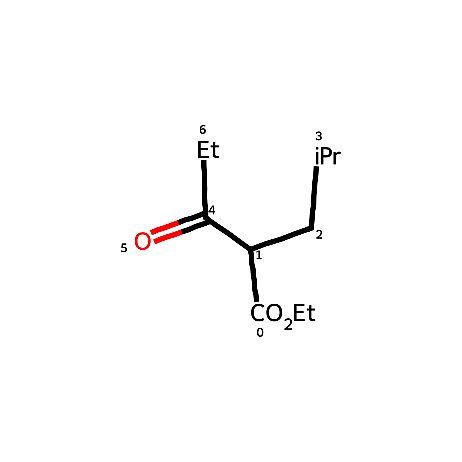 CCOC(=O)C(CC(C)C)C(=O)CC